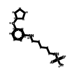 CC(C)S(=O)(=O)NCCCCCNc1cccc(OC2CCCC2)c1